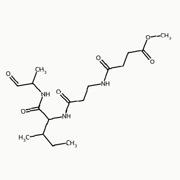 CCC(C)C(NC(=O)CCNC(=O)CCC(=O)OC)C(=O)NC(C)C=O